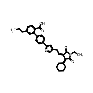 CCCc1ccc(C(=O)O)c(-c2ccc(-c3cc(CC=C4C(=O)N(CC)C(=O)C4=C4CCCCC4)cs3)cc2)c1